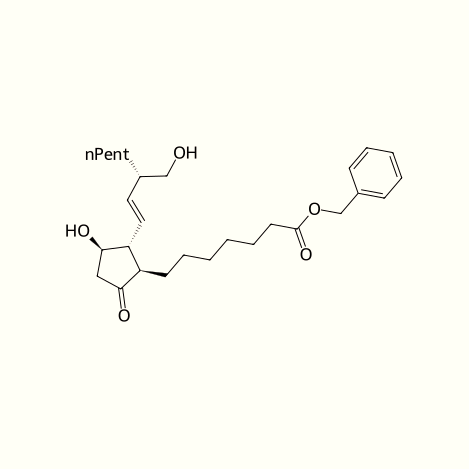 CCCCC[C@@H](/C=C/[C@H]1[C@H](O)CC(=O)[C@@H]1CCCCCCC(=O)OCc1ccccc1)CO